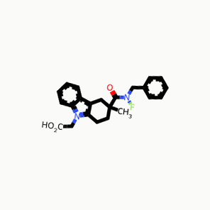 CC1(C(=O)N(F)Cc2ccccc2)CCc2c(c3ccccc3n2CC(=O)O)C1